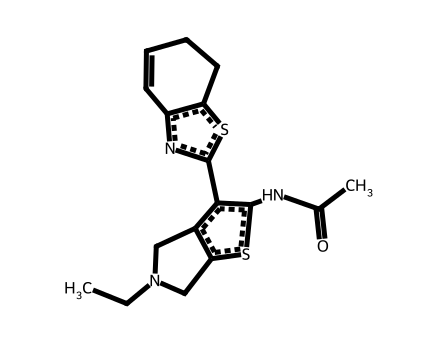 CCN1Cc2sc(NC(C)=O)c(-c3nc4c(s3)CCC=C4)c2C1